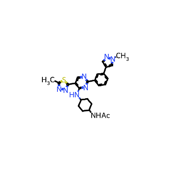 CC(=O)NC1CCC(Nc2nc(-c3cccc(-c4cnn(C)c4)c3)ncc2-c2nnc(C)s2)CC1